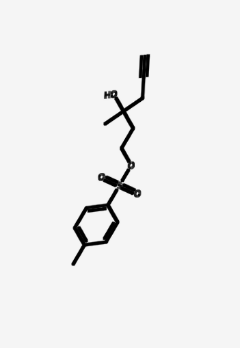 C#CCC(C)(O)CCOS(=O)(=O)c1ccc(C)cc1